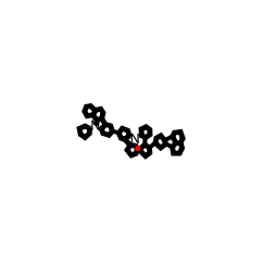 c1ccc(-n2c3ccc(-c4ccc5c(c4)c4ccccc4n5-c4ccccc4-c4ccccc4-c4ccc5c(c4)-c4cccc6cccc-5c46)cc3c3ccc4ccccc4c32)cc1